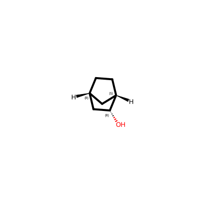 O[C@@H]1C[C@@H]2CC[C@H]1C2